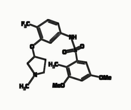 COc1cc(OC)c(C)c(S(=O)(=O)Nc2ccc(C(F)(F)F)c(OC3CCN(C)C3)c2)c1